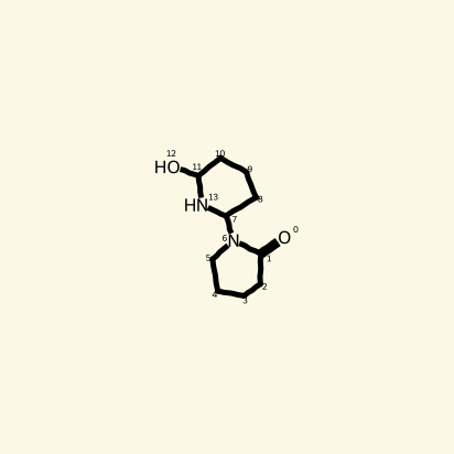 O=C1CCCCN1C1CCCC(O)N1